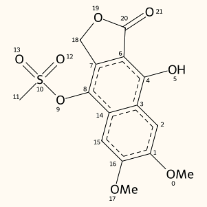 COc1cc2c(O)c3c(c(OS(C)(=O)=O)c2cc1OC)COC3=O